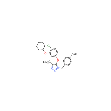 CCOC(=O)c1nnn(Cc2ccc(OC)cc2)c1Oc1ccc(Cl)c(OC2CCCCC2)c1